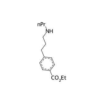 CCCNCCCc1ccc(C(=O)OCC)cc1